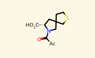 CC(=O)C(=O)N1CC2(CCSC2)C[C@H]1C(=O)O